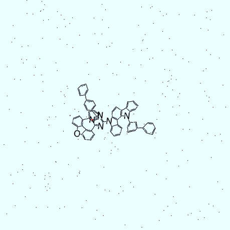 c1ccc(-c2ccc(-c3nc(-c4cccc5oc6cccc(-c7ccccc7)c6c45)nc(-n4c5ccccc5c5c4ccc4c6ccccc6n(-c6cccc(-c7ccccc7)c6)c45)n3)cc2)cc1